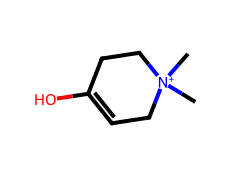 C[N+]1(C)CC=C(O)CC1